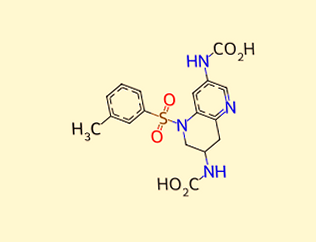 Cc1cccc(S(=O)(=O)N2CC(NC(=O)O)Cc3ncc(NC(=O)O)cc32)c1